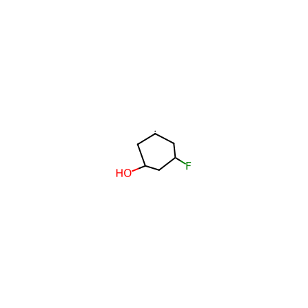 OC1C[CH]CC(F)C1